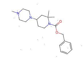 CN1CCN(C2CCN(C(=O)OCc3ccccc3)C(C)(C)C2)CC1